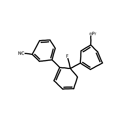 CCCc1cccc(C2(F)CC=CC=C2c2cccc(C#N)c2)c1